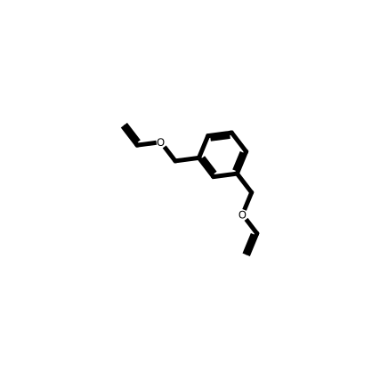 C=COCc1cccc(COC=C)c1